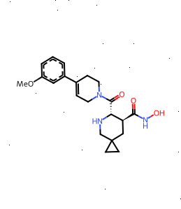 COc1cccc(C2=CCN(C(=O)[C@H]3NCC4(CC4)C[C@@H]3C(=O)NO)CC2)c1